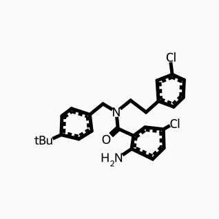 CC(C)(C)c1ccc(CN(CCc2cccc(Cl)c2)C(=O)c2cc(Cl)ccc2N)cc1